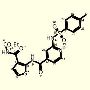 CCOC(=O)NC(=O)c1ccsc1NC(=O)c1ccnc(NS(=O)(=O)c2ccc(C)cc2)c1